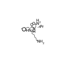 CC(C)C[C@H](NC(=O)[C@H](Cc1ccccc1)NC(=O)CCCCCN)C(N)=O